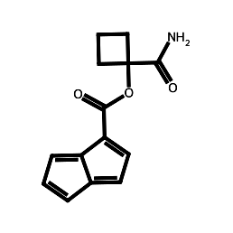 NC(=O)C1(OC(=O)C2=CC=C3C=CC=C32)CCC1